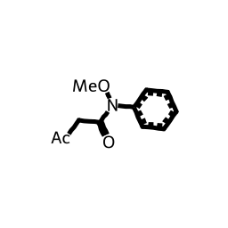 CON(C(=O)CC(C)=O)c1ccccc1